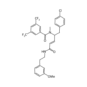 COc1cccc(CCNC(=O)C=CC(Cc2ccc(Cl)cc2)N(C)C(=O)c2cc(C(F)(F)F)cc(C(F)(F)F)c2)c1